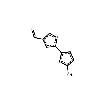 Cc1ccc(-c2cc(C=O)cs2)s1